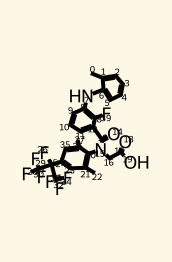 Cc1ccccc1Nc1cccc(C(=O)N(CC(=O)O)c2c(C)cc(C(F)(C(F)(F)F)C(F)(F)F)cc2C)c1F